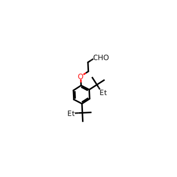 CCC(C)(C)c1ccc(OCCC=O)c(C(C)(C)CC)c1